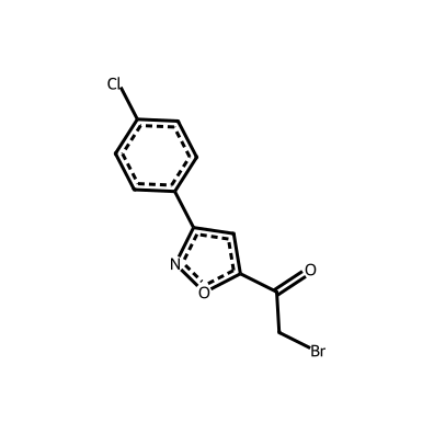 O=C(CBr)c1cc(-c2ccc(Cl)cc2)no1